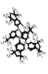 Cc1cc2c(cc1N1c3ccc(C(C)(C)C)cc3B3c4cc5c(cc4N(c4ccc6c(c4)C(C)(C)CC6(C)C)c4cc(C(C)(C)C)cc1c43)C(C)(C)CC5(C)C)C(C)(C)CC2(C)C